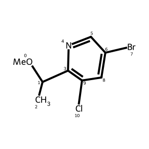 COC(C)c1ncc(Br)cc1Cl